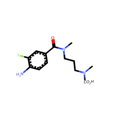 CN(CCCN(C)C(=O)c1ccc(N)c(F)c1)C(=O)O